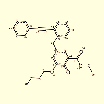 CCCCOc1cn(Cc2ccccc2C#Cc2ccccc2)cc(C(=O)OCC)c1=O